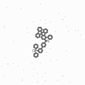 O=P(c1ccccc1)(c1ccccc1)c1cccc(-c2ccc(-c3nc4ccccc4c4c5c(ccc34)C3(c4ccccc4-c4ccccc43)c3ccccc3-5)cc2)c1